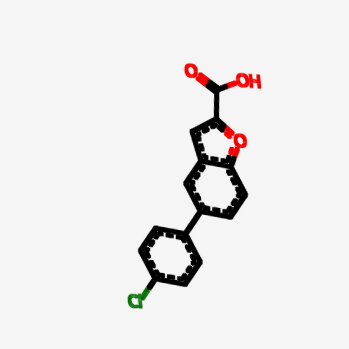 O=C(O)c1cc2cc(-c3ccc(Cl)cc3)ccc2o1